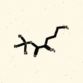 C=C(CCC[SiH3])C(=O)O[Si](CC)(CC)CC